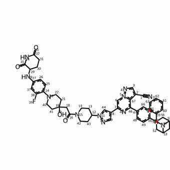 N#Cc1cnn2cc(-c3cnn(C4CCN(C(=O)CC5(O)CCN(c6ccc(NC7CCC(=O)NC7=O)cc6F)CC5)CC4)c3)nc(-c3ccc(N4CC5CC(C4)N5Cc4ccccc4)nc3)c12